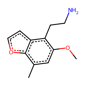 COc1cc(C)c2occc2c1CCN